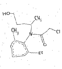 CCc1cccc(C)c1N(C(=O)CCl)C(C)CCO